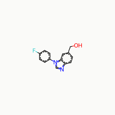 OCc1ccc2ncn(-c3ccc(F)cc3)c2c1